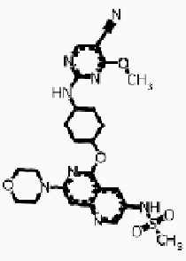 COc1nc(NC2CCC(Oc3nc(N4CCOCC4)cc4ncc(NS(C)(=O)=O)cc34)CC2)ncc1C#N